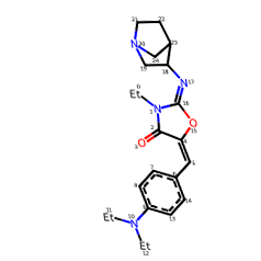 CCN1C(=O)/C(=C\c2ccc(N(CC)CC)cc2)O/C1=N/C1CN2CCC1C2